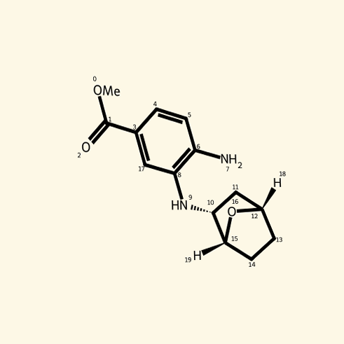 COC(=O)c1ccc(N)c(N[C@@H]2C[C@@H]3CC[C@H]2O3)c1